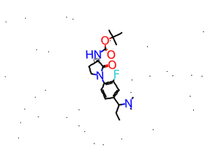 CCC(c1ccc(N2CC[C@H](NC(=O)OC(C)(C)C)C2=O)c(F)c1)N(C)C